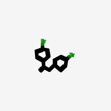 C=C([CH]c1ccc(Br)cc1)c1ccc(Br)cc1